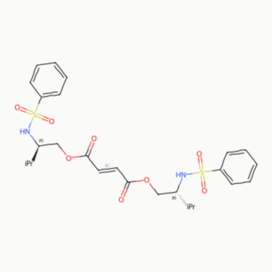 CC(C)[C@H](COC(=O)/C=C/C(=O)OC[C@H](NS(=O)(=O)c1ccccc1)C(C)C)NS(=O)(=O)c1ccccc1